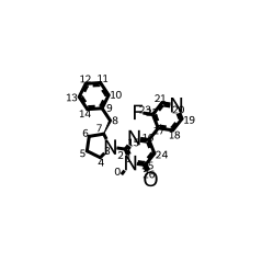 Cn1c(N2CCC[C@H]2Cc2ccccc2)nc(-c2ccncc2F)cc1=O